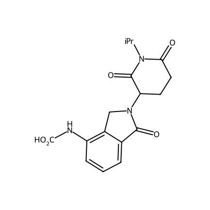 CC(C)N1C(=O)CCC(N2Cc3c(NC(=O)O)cccc3C2=O)C1=O